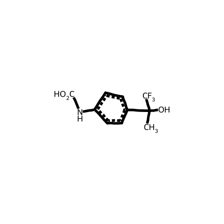 CC(O)(c1ccc(NC(=O)O)cc1)C(F)(F)F